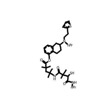 CCCNC(=O)C(S)C(C)(C)C(=O)NC(C)(C)CC(C)(C)C(=O)Oc1cccc2c1CCC(N(CCC)CCc1cccs1)C2